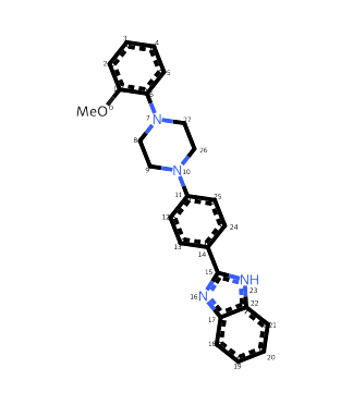 COc1ccccc1N1CCN(c2ccc(-c3nc4ccccc4[nH]3)cc2)CC1